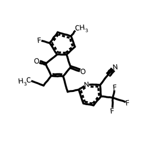 CCC1=C(Cc2ccc(C(F)(F)F)c(C#N)n2)C(=O)c2cc(C)cc(F)c2C1=O